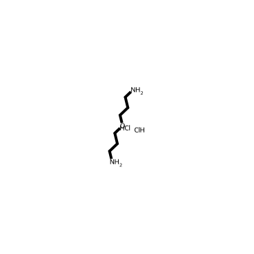 Cl.Cl.NCCCOCCCN